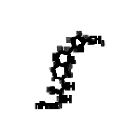 CCCCCNC(=S)Nc1ccc2ncc(-c3ccc(C)s3)nc2n1